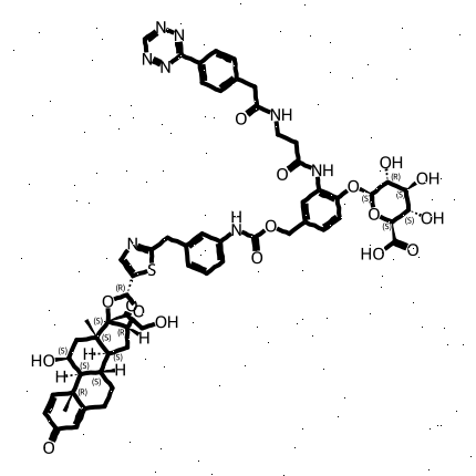 C[C@]12C=CC(=O)C=C1CC[C@@H]1[C@@H]2[C@@H](O)C[C@@]2(C)[C@H]1C[C@H]1O[C@@H](c3cnc(Cc4cccc(NC(=O)OCc5ccc(O[C@@H]6O[C@H](C(=O)O)[C@@H](O)[C@H](O)[C@H]6O)c(NC(=O)CCNC(=O)Cc6ccc(-c7nncnn7)cc6)c5)c4)s3)O[C@]12C(=O)CO